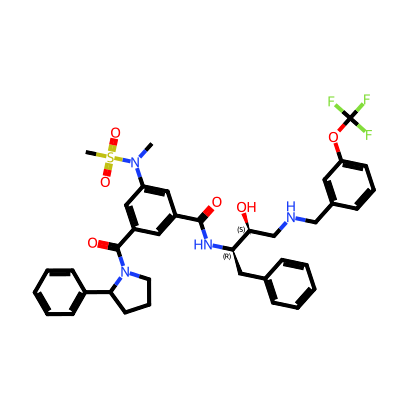 CN(c1cc(C(=O)N[C@H](Cc2ccccc2)[C@@H](O)CNCc2cccc(OC(F)(F)F)c2)cc(C(=O)N2CCCC2c2ccccc2)c1)S(C)(=O)=O